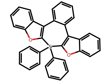 c1ccc([Si]2(c3ccccc3)c3oc4ccccc4c3-c3ccccc3-c3c2oc2ccccc32)cc1